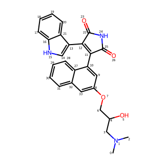 CN(C)CC(O)COc1cc(C2=C(c3c[nH]c4ccccc34)C(=O)NC2=O)c2ccccc2c1